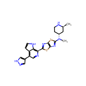 C[C@H]1C[C@H](N(C)c2nc3sc(-c4ncc(-c5cn[nH]c5)c5cc[nH]c45)nc3s2)CCN1